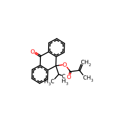 C=C(C)C(=O)OC1(C(C)C)c2ccccc2C(=O)c2ccccc21